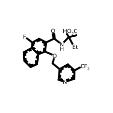 CCC(C)(NC(=O)c1cc(F)c2ccccc2c1OCc1cncc(C(F)(F)F)c1)C(=O)O